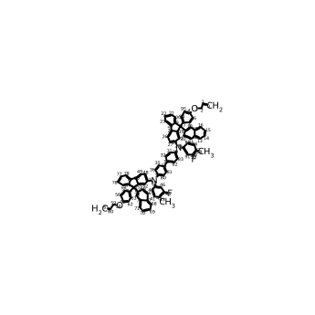 C=CCOc1ccc(C2(c3ccc4ccccc4c3)c3ccccc3-c3ccc(N(c4ccc(-c5ccc(N(c6ccc(C)c(F)c6)c6ccc7c(c6)C(c6ccc(OCC=C)cc6)(c6ccc8ccccc8c6)c6ccccc6-7)cc5)cc4)c4ccc(C)c(F)c4)cc32)cc1